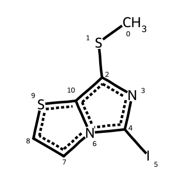 CSc1nc(I)n2ccsc12